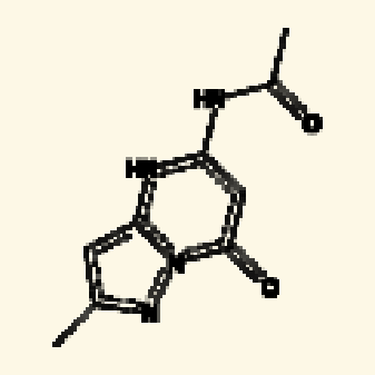 CC(=O)Nc1cc(=O)n2nc(C)cc2[nH]1